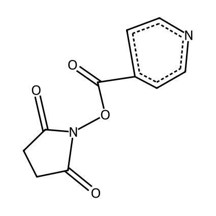 O=C(ON1C(=O)CCC1=O)c1ccncc1